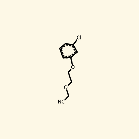 N#CCOCCOc1cccc(Cl)c1